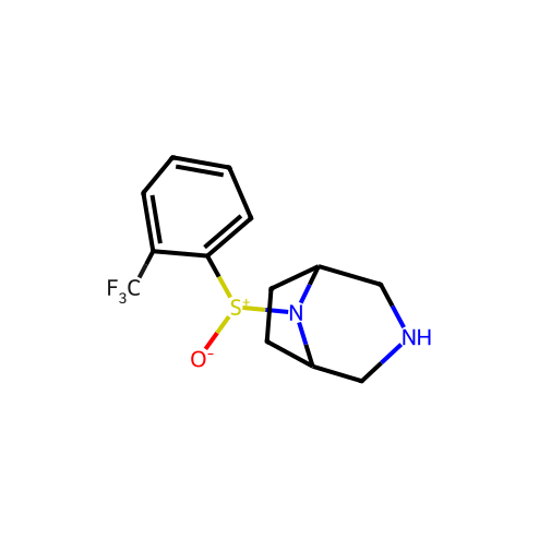 [O-][S+](c1ccccc1C(F)(F)F)N1C2CCC1CNC2